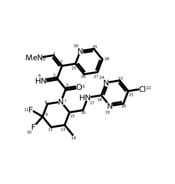 CN/C=C(\C(=N)C(=O)N1CC(F)(F)CC(C)C1CNc1ncc(Cl)cn1)c1ccccn1